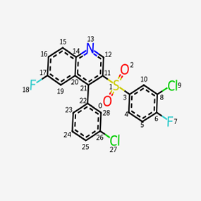 O=S(=O)(c1ccc(F)c(Cl)c1)c1cnc2ccc(F)cc2c1-c1cccc(Cl)c1